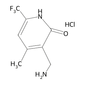 Cc1cc(C(F)(F)F)[nH]c(=O)c1CN.Cl